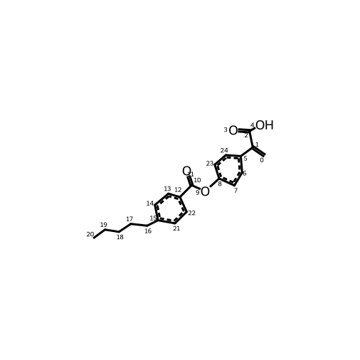 C=C(C(=O)O)c1ccc(OC(=O)c2ccc(CCCCC)cc2)cc1